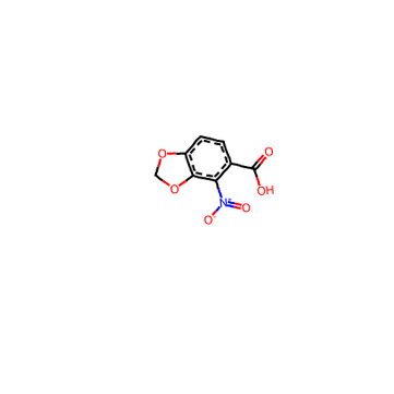 O=C(O)c1ccc2c(c1[N+](=O)[O-])OCO2